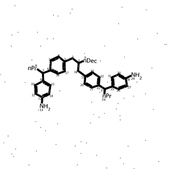 CCCCCCCCCCC(Cc1ccc(C(CCC)c2ccc(N)cc2)cc1)Cc1ccc(C(CCC)c2ccc(N)cc2)cc1